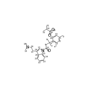 Cc1cc(C)c(C(C)(C)CC(=O)n2cc(CCN(C)C)c3ccccc32)c(OC(=O)C(C)C)c1